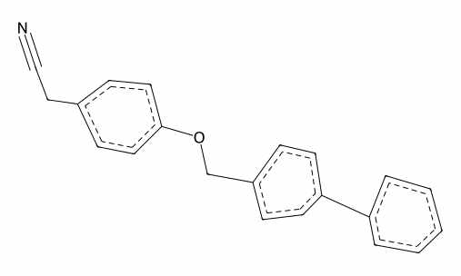 N#CCc1ccc(OCc2ccc(-c3ccccc3)cc2)cc1